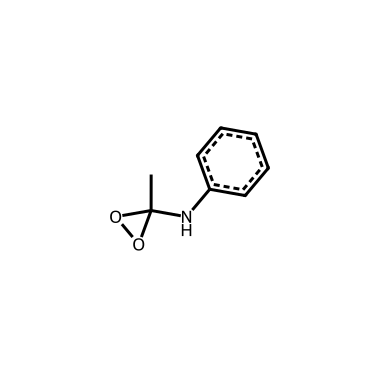 CC1(Nc2ccccc2)OO1